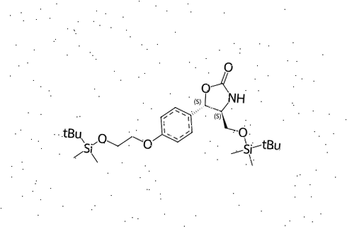 CC(C)(C)[Si](C)(C)OCCOc1ccc([C@@H]2OC(=O)N[C@H]2CO[Si](C)(C)C(C)(C)C)cc1